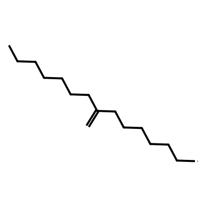 [CH2]CCCCCCC(=C)CCCCCCC